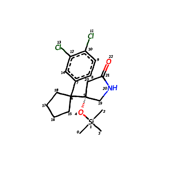 C[Si](C)(C)O[C@@]1(C2(c3ccc(Cl)c(Cl)c3)CCCC2)CNC(=O)C1